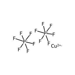 F[P-](F)(F)(F)(F)F.F[P-](F)(F)(F)(F)F.[Cu+2]